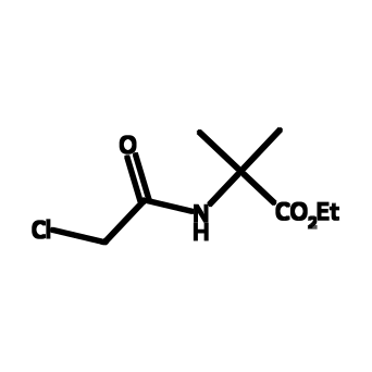 CCOC(=O)C(C)(C)NC(=O)CCl